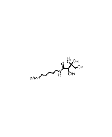 CCCCCCCCCCCCCCNC(=O)C(O)C(C)(O)CO